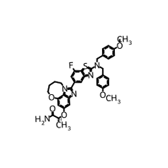 COc1ccc(CN(Cc2ccc(OC)cc2)c2nc3cc(-c4nc5cc(O[C@@H](C)C(N)=O)cc6c5n4CCCCO6)cc(F)c3s2)cc1